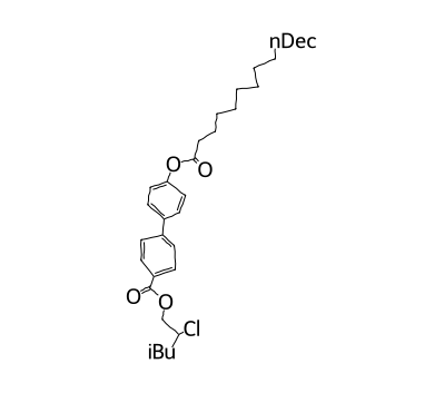 CCCCCCCCCCCCCCCCCCC(=O)Oc1ccc(-c2ccc(C(=O)OCC(Cl)C(C)CC)cc2)cc1